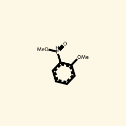 COc1ccccc1[PH](=O)OC